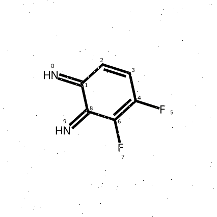 N=C1C=CC(F)=C(F)C1=N